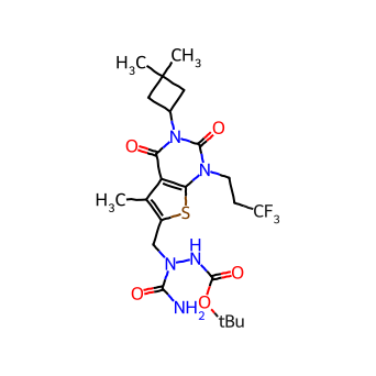 Cc1c(CN(NC(=O)OC(C)(C)C)C(N)=O)sc2c1c(=O)n(C1CC(C)(C)C1)c(=O)n2CCC(F)(F)F